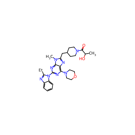 CCc1nc2ccccc2n1-c1nc(N2CCOCC2)c2nc(CC3CCN(C(=O)C(C)O)CC3)n(C)c2n1